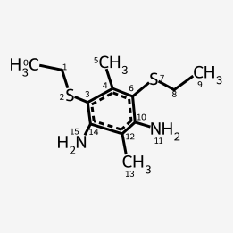 CCSc1c(C)c(SCC)c(N)c(C)c1N